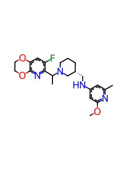 COc1cc(NC[C@H]2CCCN(C(C)c3nc4c(cc3F)OCCO4)C2)cc(C)n1